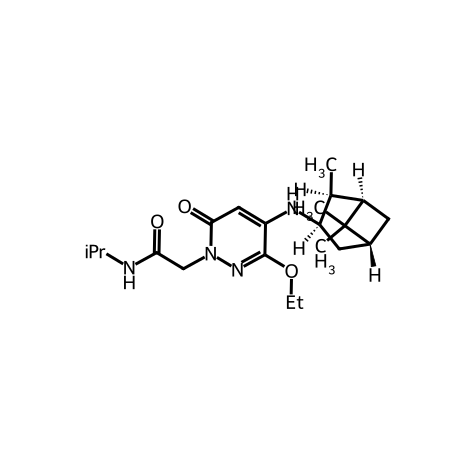 CCOc1nn(CC(=O)NC(C)C)c(=O)cc1N[C@@H]1C[C@H]2C[C@H]([C@@H]1C)C2(C)C